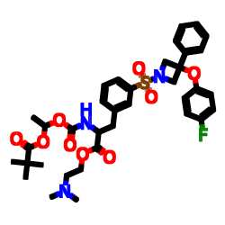 CC(OC(=O)NC(Cc1cccc(S(=O)(=O)N2CC(Oc3ccc(F)cc3)(c3ccccc3)C2)c1)C(=O)OCCN(C)C)OC(=O)C(C)(C)C